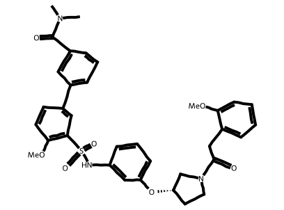 COc1ccccc1CC(=O)N1CC[C@H](Oc2cccc(NS(=O)(=O)c3cc(-c4cccc(C(=O)N(C)C)c4)ccc3OC)c2)C1